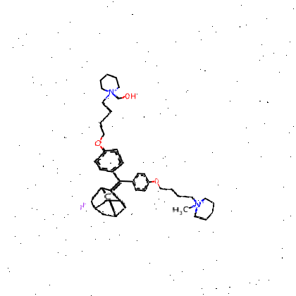 C[N+]1(CCCCOc2ccc(C(=C3C4CC5CC(C4)CC3C5)c3ccc(OCCCC[N+]4(CO)CCCCC4)cc3)cc2)CCCCC1.[I-].[I-]